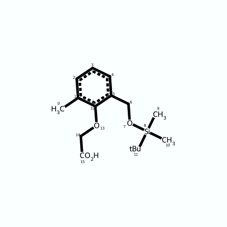 Cc1cccc(CO[Si](C)(C)C(C)(C)C)c1OCC(=O)O